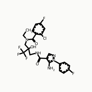 CCN(CC(O)(CNC(=O)c1cnn(-c2ccc(F)cc2)c1N)C(F)(F)F)C(=O)c1ccc(F)cc1Cl